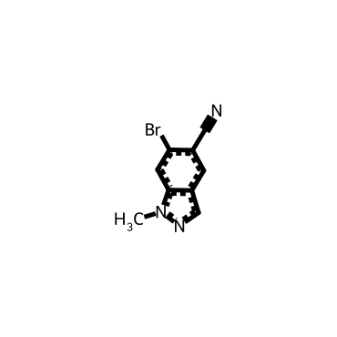 Cn1ncc2cc(C#N)c(Br)cc21